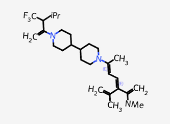 C=C(C)/C(=C\C=C(/C)N1CCC(C2CCN(C(=C)C(C(C)C)C(F)(F)F)CC2)CC1)C(=C)NC